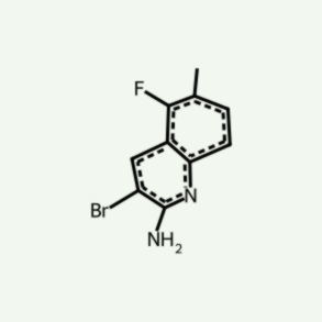 Cc1ccc2nc(N)c(Br)cc2c1F